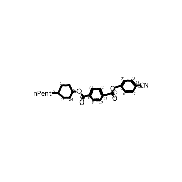 CCCCCC1CCC(OC(=O)c2ccc(C(=O)Oc3ccc(C#N)cc3)cc2)CC1